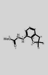 COC(=O)NNc1cccc2c1OC(C)(C)C2